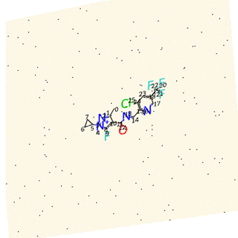 CC1=N[N+](C)(C2CC2)C(F)=C1C(=O)N=Cc1ncc(C(F)(F)F)cc1Cl